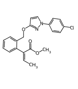 CC=C(C(=O)OC)c1ccccc1COc1ccn(-c2ccc(Cl)cc2)n1